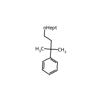 CCCCCCCCCC(C)(C)c1cc[c]cc1